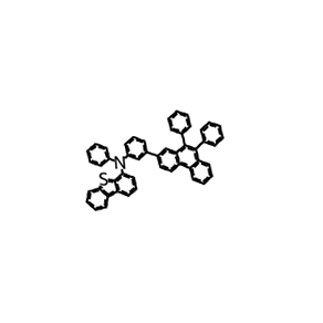 c1ccc(-c2c(-c3ccccc3)c3cc(-c4cccc(N(c5ccccc5)c5cccc6c5sc5ccccc56)c4)ccc3c3ccccc23)cc1